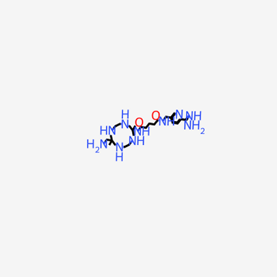 CC1(CN)CNCCNCC(C)(NC(=O)CCCC(=O)NCc2ccc(C(=N)N)nc2)CNCCNC1